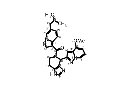 COc1cccn2nc(C3c4nc[nH]c4CCN3C(=O)c3cnn4cc(CN(C)C)ccc34)cc12